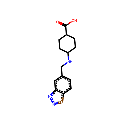 O=C(O)C1CCC(NCc2ccc3snnc3c2)CC1